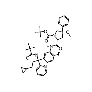 CO[C@]1(c2ccccc2)C[C@H](C(=O)Nc2cc(C(CCC3CC3)(NC(=O)C(C)(C)C)c3ccccn3)ccc2F)N(C(=O)OC(C)(C)C)C1